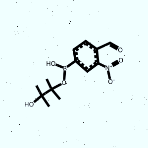 CC(C)(O)C(C)(C)OB(O)c1ccc(C=O)c([N+](=O)[O-])c1